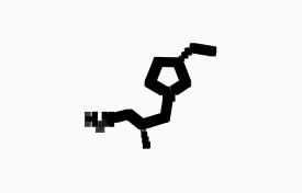 CC[C@H]1CCN(C[C@H](C)CN)C1